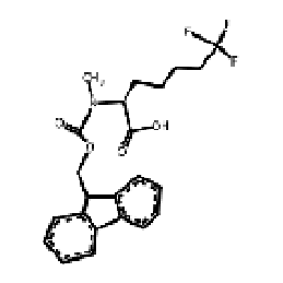 CN(C(=O)OCC1c2ccccc2-c2ccccc21)[C@@H](CCCCC(F)(F)F)C(=O)O